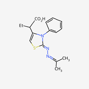 CCC(C(=O)O)c1csc(=NN=C(C)C)n1-c1ccccc1